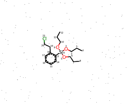 CCCO[Si](OCCC)(OCCC)c1ccccc1CCCl